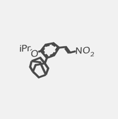 CC(C)Oc1ccc(C=C[N+](=O)[O-])cc1C12CC3CC(CC(C3)C1)C2